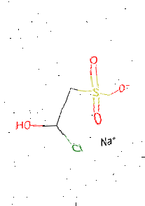 O=S(=O)([O-])CC(O)Cl.[Na+]